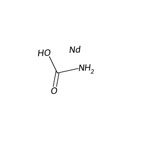 NC(=O)O.[Nd]